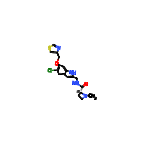 CN1CC[C@@H]1C(=O)NCc1cc2cc(Cl)c(OCc3cscn3)cc2[nH]1